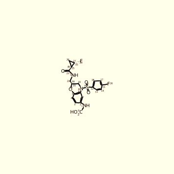 O=C(O)Nc1ccc2c(c1)N(S(=O)(=O)c1ccc(F)cc1)C[C@H](CNC(=O)[C@H]1C[C@@H]1F)O2